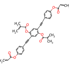 C=CC(=O)Oc1ccc(C#Cc2cc(OC(=O)C(=C)C)c(C#Cc3ccc(OC(=O)C=C)cc3)cc2OC(=O)C(=C)C)cc1